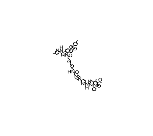 CC(=O)c1c(C)c2cnc(Nc3ccc(N4CCN(CC(=O)NCCOCCOCCC(=O)Nc5c(C(=O)Nc6ccc(C)cn6)ccc6c5ccn6S(=O)(=O)c5ccc(C)cc5)CC4)cn3)nc2n(C2CCCC2)c1=O